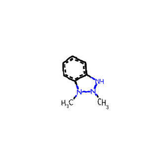 CN1Nc2ccccc2N1C